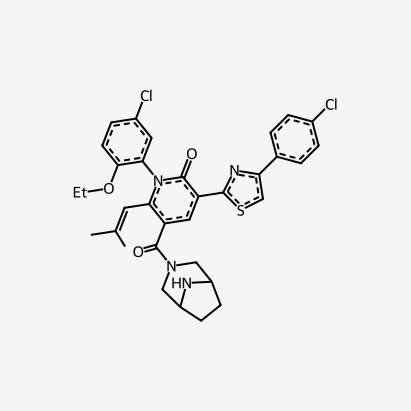 CCOc1ccc(Cl)cc1-n1c(C=C(C)C)c(C(=O)N2CC3CCC(C2)N3)cc(-c2nc(-c3ccc(Cl)cc3)cs2)c1=O